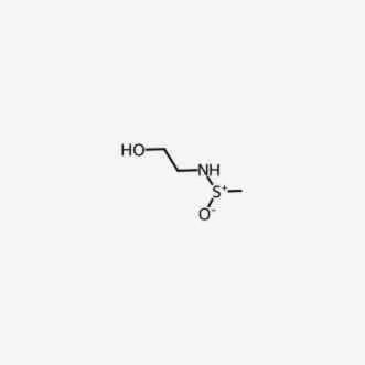 C[S+]([O-])NCCO